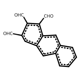 O=Cc1cc2cc3ccccc3cc2c(C=O)c1C=O